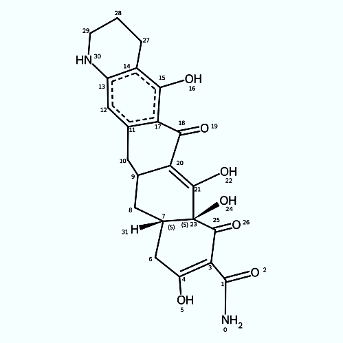 NC(=O)C1=C(O)C[C@@H]2CC3Cc4cc5c(c(O)c4C(=O)C3=C(O)[C@]2(O)C1=O)CCCN5